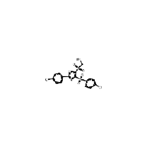 CC(C)CS(=O)(=O)c1oc(-c2ccc(Cl)cc2)nc1S(=O)(=O)c1ccc(Cl)cc1